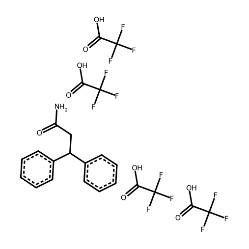 NC(=O)CC(c1ccccc1)c1ccccc1.O=C(O)C(F)(F)F.O=C(O)C(F)(F)F.O=C(O)C(F)(F)F.O=C(O)C(F)(F)F